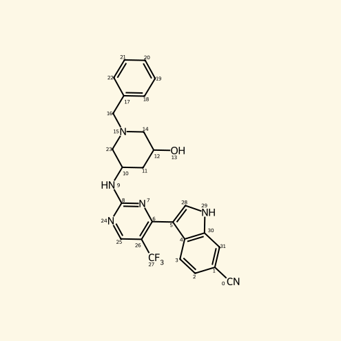 N#Cc1ccc2c(-c3nc(NC4CC(O)CN(Cc5ccccc5)C4)ncc3C(F)(F)F)c[nH]c2c1